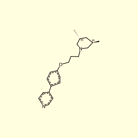 C[C@@H]1C[C@@H](C)CN(CCCOc2ccc(-c3ccncc3)cc2)C1